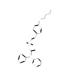 CCCCOc1ccc(/C=C/S(=O)(=O)NC(=O)N(c2ccccc2)c2ccccc2)cc1